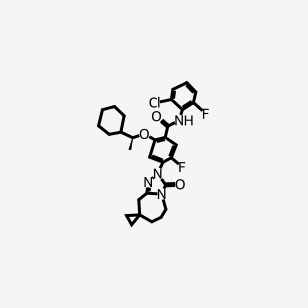 C[C@H](Oc1cc(-n2nc3n(c2=O)CCCC2(CC2)C3)c(F)cc1C(=O)Nc1c(F)cccc1Cl)C1CCCCC1